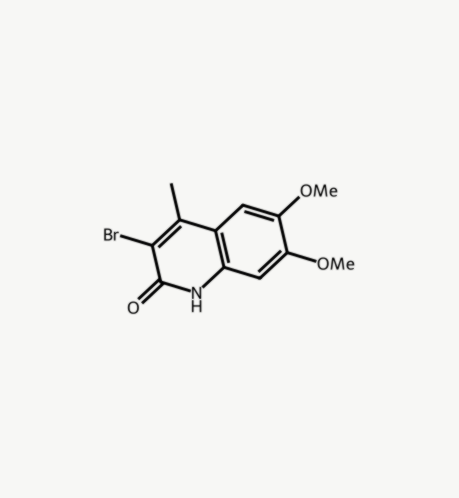 COc1cc2[nH]c(=O)c(Br)c(C)c2cc1OC